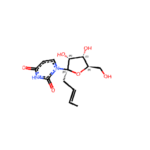 CC=CC[C@@]1(n2ccc(=O)[nH]c2=O)O[C@H](CO)[C@@H](O)[C@H]1O